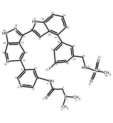 CN(C)CC(=O)Nc1cncc(-c2cc3c(-c4cc5c(-c6cc(F)cc(CNS(C)(=O)=O)c6)cccc5[nH]4)n[nH]c3cn2)c1